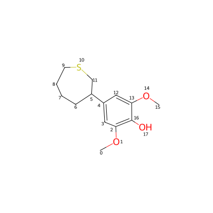 COc1cc(C2CCCCSC2)cc(OC)c1O